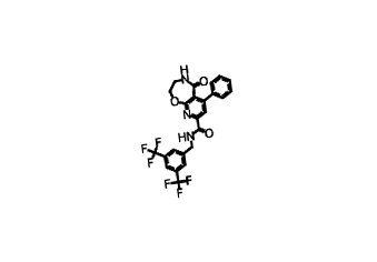 O=C(NCc1cc(C(F)(F)F)cc(C(F)(F)F)c1)c1cc(-c2ccccc2)c2c(n1)OCCNC2=O